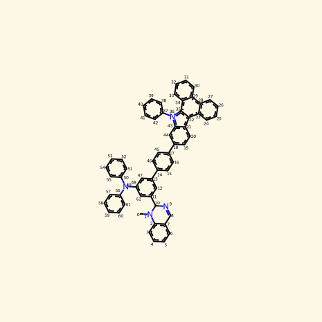 CN1c2ccccc2C=NC1c1cc(-c2ccc(-c3ccc4c5c6ccccc6c6ccccc6c5n(-c5ccccc5)c4c3)cc2)cc(N(c2ccccc2)c2ccccc2)c1